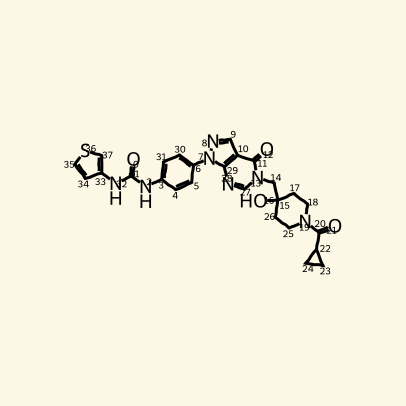 O=C(Nc1ccc(-n2ncc3c(=O)n(CC4(O)CCN(C(=O)C5CC5)CC4)cnc32)cc1)Nc1ccsc1